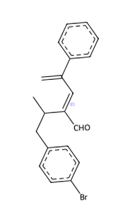 C=C(/C=C(/C=O)C(C)Cc1ccc(Br)cc1)c1ccccc1